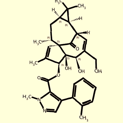 CC1=C[C@]23C(=O)[C@@H](C=C(CO)[C@@H](O)[C@]2(O)[C@H]1OC(=O)c1c(-c2ccccc2C)cnn1C)[C@H]1[C@@H](C[C@H]3C)C1(C)C